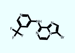 FC(F)(F)c1cncc(Nc2nccn3c(Br)cnc23)c1